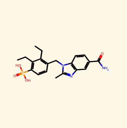 CCc1c(Cn2c(C)nc3cc(C(N)=O)ccc32)ccc(P(=O)(O)O)c1CC